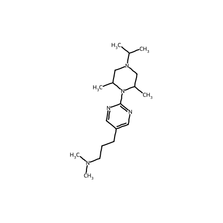 CC(C)N1CC(C)N(c2ncc(CCCN(C)C)cn2)C(C)C1